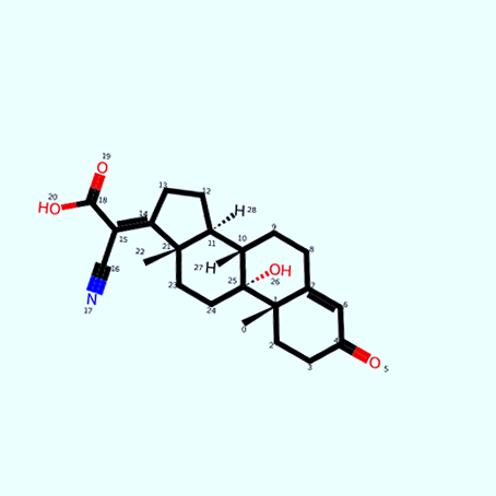 C[C@]12CCC(=O)C=C1CC[C@H]1[C@@H]3CC/C(=C(/C#N)C(=O)O)[C@@]3(C)CC[C@@]12O